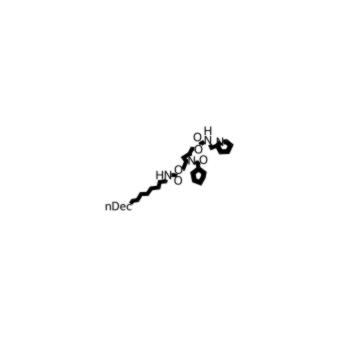 CCCCCCCCCCCCCCCCCCNC(=O)OCC1CC(COC(=O)NCc2ccccn2)N1C(=O)c1ccccc1